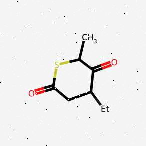 CCC1CC(=O)SC(C)C1=O